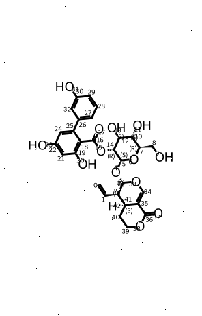 C=C[C@H]1[C@H](O[C@@H]2O[C@H](CO)[C@@H](O)[C@H](O)[C@H]2OC(=O)c2c(O)cc(O)cc2-c2cccc(O)c2)OC=C2C(=O)OCC[C@H]21